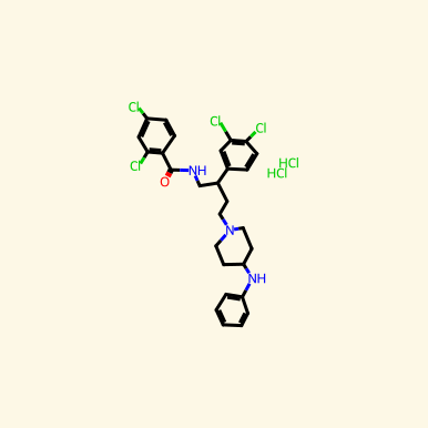 Cl.Cl.O=C(NCC(CCN1CCC(Nc2ccccc2)CC1)c1ccc(Cl)c(Cl)c1)c1ccc(Cl)cc1Cl